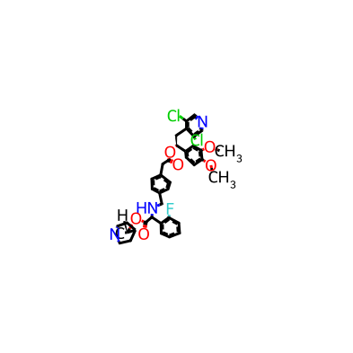 COc1ccc([C@H](Cc2c(Cl)cncc2Cl)OC(=O)Cc2ccc(CNC(C(=O)O[C@H]3CN4CCC3CC4)c3ccccc3F)cc2)cc1OC